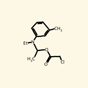 CCN(c1cccc(C)c1)C(C)OC(=O)CCl